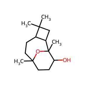 CC12CCC3C(CC3(C)C)C(C)(O1)C(O)CC2